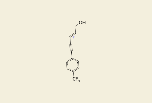 OC/C=C/C#Cc1ccc(C(F)(F)F)cc1